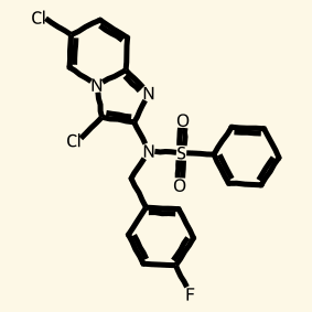 O=S(=O)(c1ccccc1)N(Cc1ccc(F)cc1)c1nc2ccc(Cl)cn2c1Cl